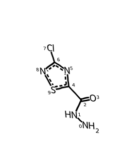 NNC(=O)c1nc(Cl)ns1